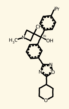 CC(C)c1ccc([C@](O)(c2cccc(-c3noc(C4CCOCC4)n3)c2)C2(C)CN(C)C2)cc1